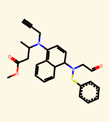 C#CCN(C1=C2C=CC=CC2C(N(CC=O)Sc2ccccc2)C=C1)C(C)CC(=O)OC